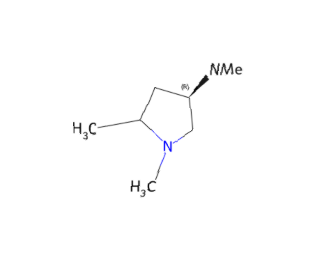 CN[C@@H]1CC(C)N(C)C1